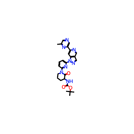 Cc1cncc(-c2cc3c(cn2)cnn3-c2cccc(N3CCCC(NC(=O)OC(C)(C)C)C3=O)n2)n1